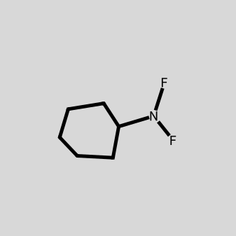 FN(F)C1CCCCC1